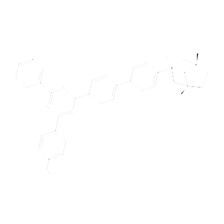 CC1(c2ccc(-c3ccc(-c4nc(-c5ccccc5)nc(-c5ccc(C#N)cc5)n4)cc3)cc2)C[C@@H]2CC[C@@H](C2)C1